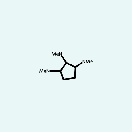 CNC1[CH]CC(NC)C1NC